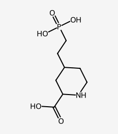 O=C(O)C1CC(CCP(=O)(O)O)CCN1